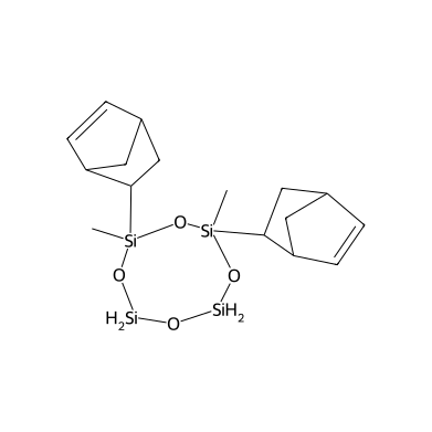 C[Si]1(C2CC3C=CC2C3)O[SiH2]O[SiH2]O[Si](C)(C2CC3C=CC2C3)O1